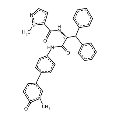 Cn1nccc1C(=O)N[C@H](C(=O)Nc1ccc(-c2ccc(=O)n(C)c2)cc1)C(c1ccccc1)c1ccccc1